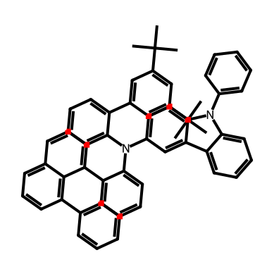 CC(C)(C)c1cc(-c2ccccc2N(c2ccc3c(c2)c2ccccc2n3-c2ccccc2)c2ccccc2-c2cccc3cccc(-c4ccccc4)c23)cc(C(C)(C)C)c1